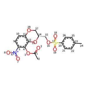 CC(=O)Oc1c([N+](=O)[O-])ccc2c1O[C@@H](COS(=O)(=O)c1ccc(C)cc1)CO2